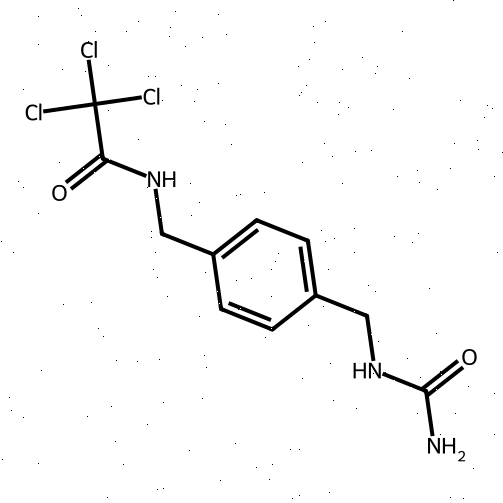 NC(=O)NCc1ccc(CNC(=O)C(Cl)(Cl)Cl)cc1